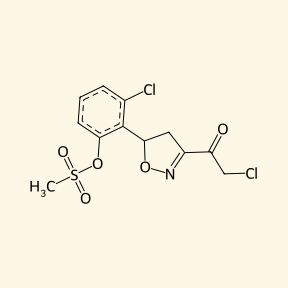 CS(=O)(=O)Oc1cccc(Cl)c1C1CC(C(=O)CCl)=NO1